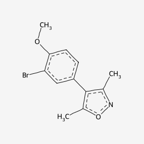 COc1ccc(-c2c(C)noc2C)cc1Br